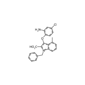 Cc1cccc2c1c(Oc1ccc(Cl)cc1N)c(C(=O)O)n2Cc1ccccc1